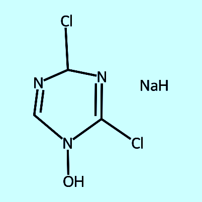 ON1C=NC(Cl)N=C1Cl.[NaH]